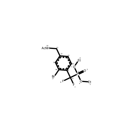 CCOP(=O)(OCC)C(F)(F)c1ccc(CNC(C)=O)cc1Br